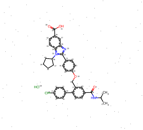 CC(C)NC(=O)c1ccc(-c2ccc(Cl)cc2)c(COc2ccc(-c3nc4cc(C(=O)O)ccc4n3C3CCCC3)cc2)c1.Cl